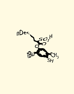 CCCCCCCCCCCCCC(C(=O)Oc1cc(C)c(S)cc1C(C)(C)C)S(=O)(=O)O